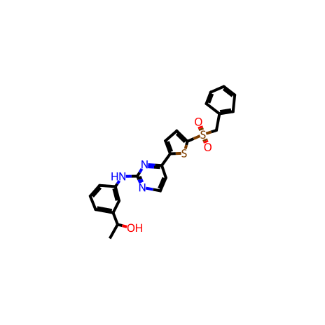 CC(O)c1cccc(Nc2nccc(-c3ccc(S(=O)(=O)Cc4ccccc4)s3)n2)c1